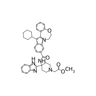 COC(=O)CN1CCC(NC(=O)c2ccc3c(C4CCCCC4)c4n(c3c2)CCOc2ccccc2-4)(c2nc3ccccc3[nH]2)CC1